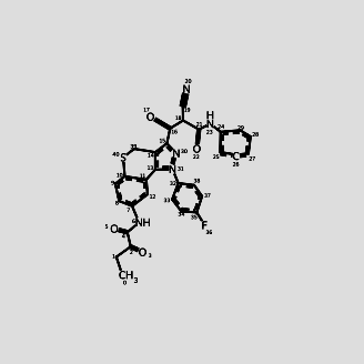 CCC(=O)C(=O)Nc1ccc2c(c1)-c1c(c(C(=O)C(C#N)C(=O)Nc3ccccc3)nn1-c1ccc(F)cc1)CS2